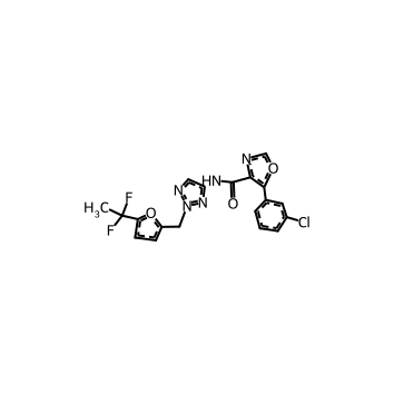 CC(F)(F)c1ccc(Cn2ncc(NC(=O)c3ncoc3-c3cccc(Cl)c3)n2)o1